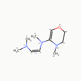 CN(C)/C=C\N(C)C1=COCCN1C